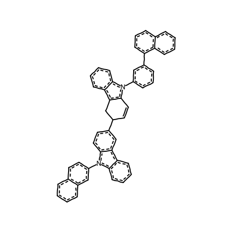 C1=CC(c2ccc3c(c2)c2ccccc2n3-c2ccc3ccccc3c2)Cc2c1n(-c1cccc(-c3cccc4ccccc34)c1)c1ccccc21